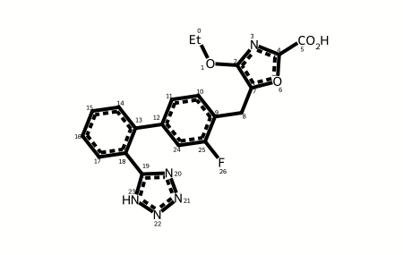 CCOc1nc(C(=O)O)oc1Cc1ccc(-c2ccccc2-c2nnn[nH]2)cc1F